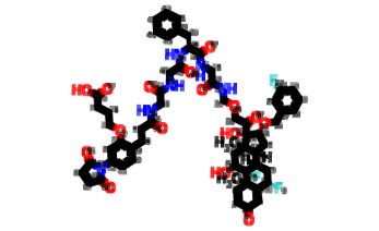 C[C@]12C=CC(=O)C=C1[C@@H](F)C[C@H]1[C@@H]3C[C@@H](OCc4cccc(F)c4)[C@](O)(C(=O)COCNC(=O)CNC(=O)[C@H](Cc4ccccc4)NC(=O)CNC(=O)CNC(=O)CCc4ccc(N5C(=O)C=CC5=O)cc4OCCCC(=O)O)[C@@]3(C)C[C@H](O)[C@@]12F